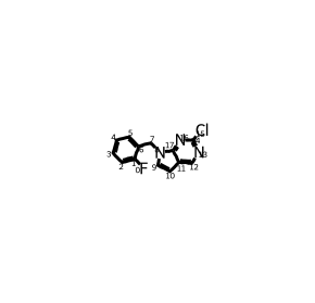 Fc1ccccc1Cn1ccc2cnc(Cl)nc21